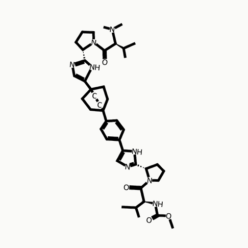 COC(=O)N[C@H](C(=O)N1CCC[C@H]1c1ncc(-c2ccc(C34CCC(c5cnc([C@@H]6CCCN6C(=O)[C@H](C(C)C)N(C)C)[nH]5)(CC3)CC4)cc2)[nH]1)C(C)C